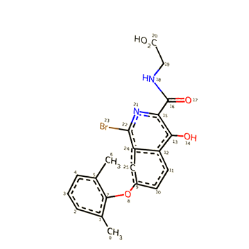 Cc1cccc(C)c1Oc1ccc2c(O)c(C(=O)NCC(=O)O)nc(Br)c2c1